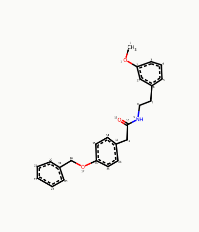 COc1cccc(CCNC(=O)Cc2ccc(OCc3ccccc3)cc2)c1